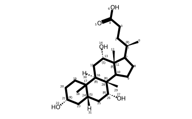 C[C@H](CCC(=O)O)C1CCC2[C@]1(C)[C@@H](O)C[C@@H]1C3(C)CC[C@@H](O)C[C@H]3C[C@@H](O)[C@@]21C